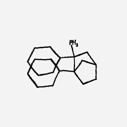 PC1(C2CCCCC2)CC2CCC1(C1CCCCC1)C2